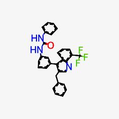 O=C(Nc1ccccc1)Nc1cccc(-c2c(Cc3ccccc3)cnc3c(C(F)(F)F)cccc23)c1